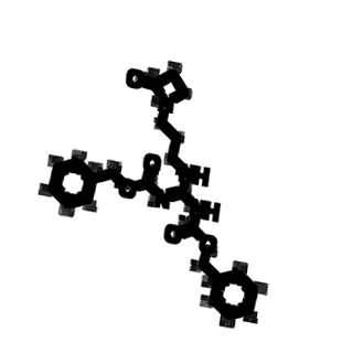 O=C(N=C(NCCCN1CCC1=O)NC(=O)OCc1ccccc1)OCc1ccccc1